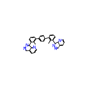 Cc1c(-c2ccc(-c3cccc(-c4nncc5cccnc45)c3C)cc2)cccc1-c1nncc2cccnc12